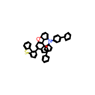 C1=CC2Oc3cc(-c4cccc5sc6ccccc6c45)c4ccccc4c3C2C(N(c2ccc(-c3ccccc3)cc2)c2ccc(-c3ccccc3)cc2)=C1